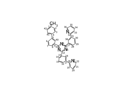 Cc1ccc(-c2cccc(-c3nc(-c4cccc(-c5ccccn5)c4)nc(-c4cccc(-c5ccccn5)c4)n3)c2)cc1